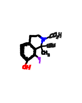 CC(C)(C)C1(C)c2c(ccc(O)c2I)CCN1C(=O)O